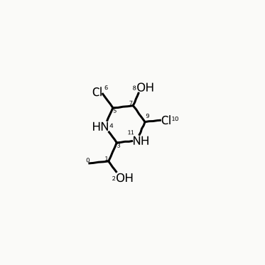 CC(O)C1NC(Cl)C(O)C(Cl)N1